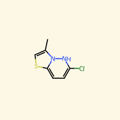 CC1=CSC2=CC=C(Cl)NN12